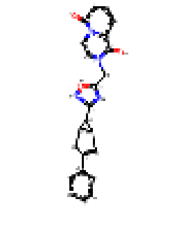 O=c1c2cccc(=O)n2ccn1Cc1nc(C2C3C=C(c4ccccc4)CC32)no1